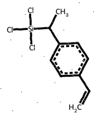 C=Cc1ccc(C(C)[Si](Cl)(Cl)Cl)cc1